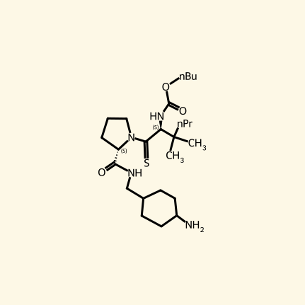 CCCCOC(=O)N[C@H](C(=S)N1CCC[C@H]1C(=O)NCC1CCC(N)CC1)C(C)(C)CCC